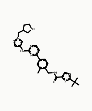 Cc1cc(-c2ccnc(Nc3cnn(CC4CCNC4)c3)n2)ccc1CNC(=O)c1cnc(C(C)(C)C)s1